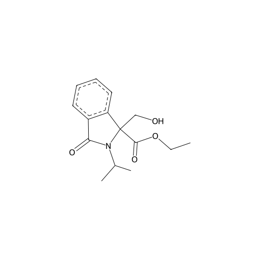 CCOC(=O)C1(CO)c2ccccc2C(=O)N1C(C)C